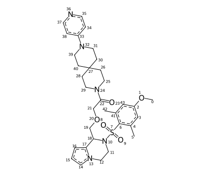 COc1cc(C)c(S(=O)(=O)N2CCn3cccc3C2COCC(=O)N2CCC3(CC2)CCN(c2ccncc2)CC3)c(C)c1